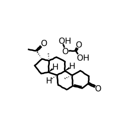 CC(=O)[C@H]1CC[C@H]2[C@@H]3CCC4=CC(=O)CC[C@]4(C)[C@H]3CC[C@]12C.O=C(O)OO